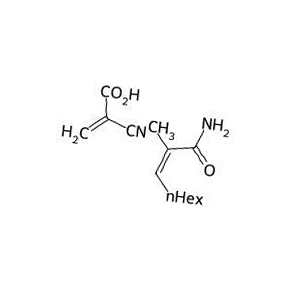 C=C(C#N)C(=O)O.CCCCCCC=C(C)C(N)=O